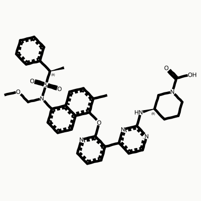 COCN(c1cccc2c(Oc3ncccc3-c3ccnc(N[C@@H]4CCCN(C(=O)O)C4)n3)c(C)ccc12)S(=O)(=O)[C@H](C)c1ccccc1